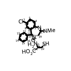 CNC1=Nc2ccc(Cl)cc2C(c2ccccc2)=[N+]([O-])C1.N[C@@H](CS)C(=O)O